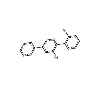 [2H]c1ccccc1-c1ccc(-c2ccccc2)cc1[2H]